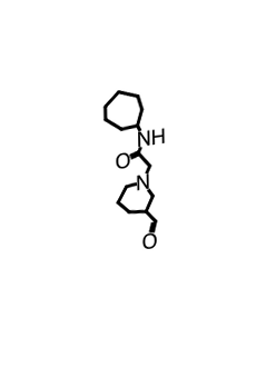 O=CC1CCCN(CC(=O)NC2CCCCCC2)C1